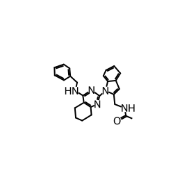 CC(=O)NCc1cc2ccccc2n1-c1nc2c(c(NCc3ccccc3)n1)CCCC2